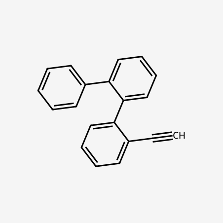 C#Cc1ccccc1-c1ccccc1-c1ccccc1